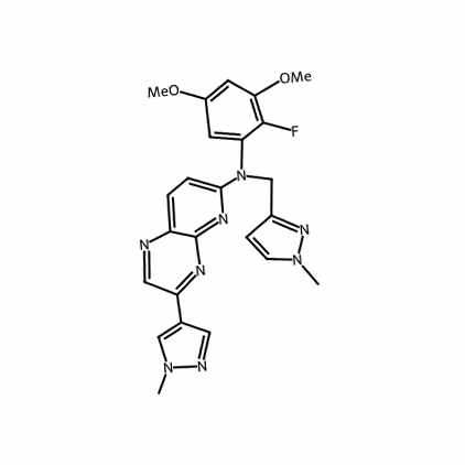 COc1cc(OC)c(F)c(N(Cc2ccn(C)n2)c2ccc3ncc(-c4cnn(C)c4)nc3n2)c1